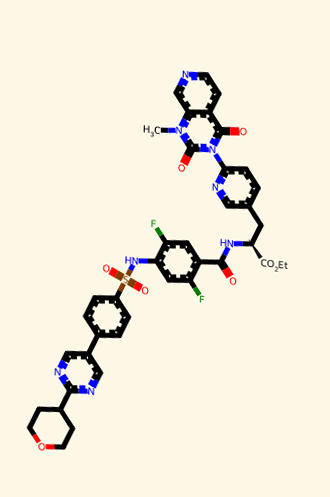 CCOC(=O)[C@H](Cc1ccc(-n2c(=O)c3ccncc3n(C)c2=O)nc1)NC(=O)c1cc(F)c(NS(=O)(=O)c2ccc(-c3cnc(C4CCOCC4)nc3)cc2)cc1F